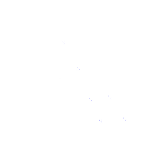 Cc1ccc(C2c3[nH]c4c([N+](=O)[O-])cc(Cl)cc4c3CCN2c2nc(C)nc(C)n2)cc1